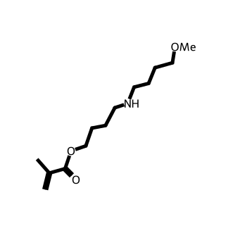 C=C(C)C(=O)OCCCCNCCCCOC